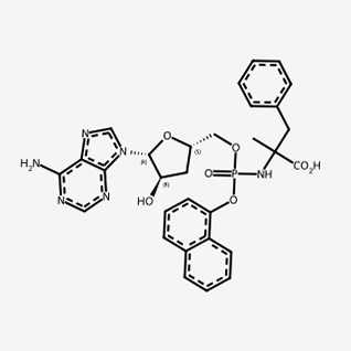 CC(Cc1ccccc1)(NP(=O)(OC[C@@H]1C[C@@H](O)[C@H](n2cnc3c(N)ncnc32)O1)Oc1cccc2ccccc12)C(=O)O